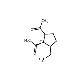 CCC1CCN(C(C)=O)[C@@H]1C(C)=O